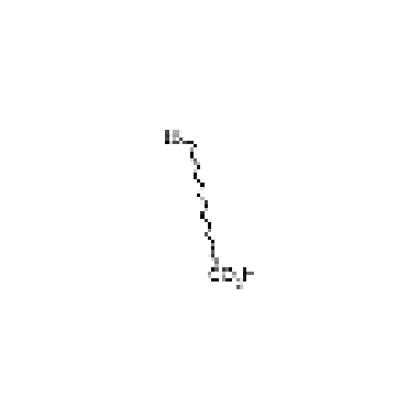 CC(C)(C)CCCCCCCCCCCCCC(=O)O